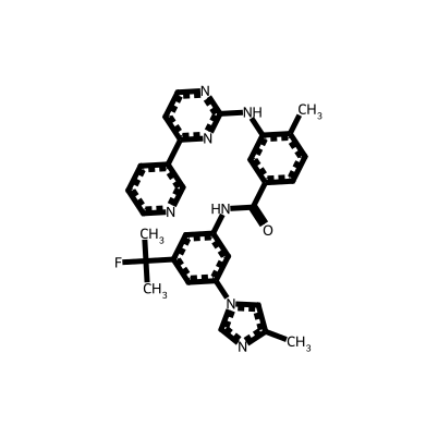 Cc1cn(-c2cc(NC(=O)c3ccc(C)c(Nc4nccc(-c5cccnc5)n4)c3)cc(C(C)(C)F)c2)cn1